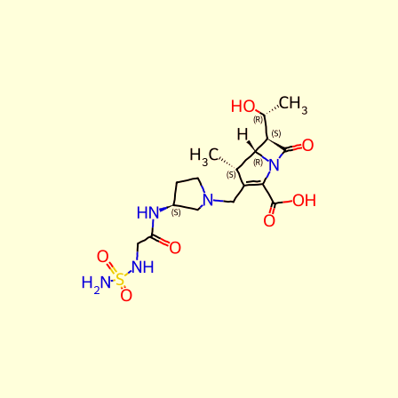 C[C@@H](O)[C@H]1C(=O)N2C(C(=O)O)=C(CN3CC[C@H](NC(=O)CNS(N)(=O)=O)C3)[C@H](C)[C@H]12